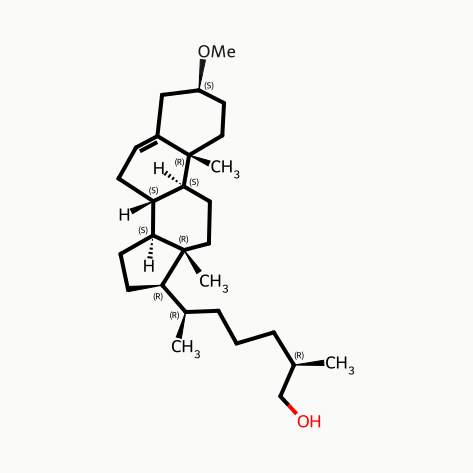 CO[C@H]1CC[C@@]2(C)C(=CC[C@H]3[C@@H]4CC[C@H]([C@H](C)CCC[C@@H](C)CO)[C@@]4(C)CC[C@@H]32)C1